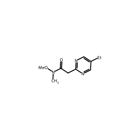 CCc1cnc(CC(=O)N(C)OC)nc1